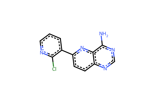 Nc1ncnc2ccc(-c3cccnc3Cl)nc12